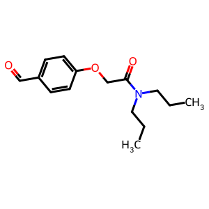 CCCN(CCC)C(=O)COc1ccc(C=O)cc1